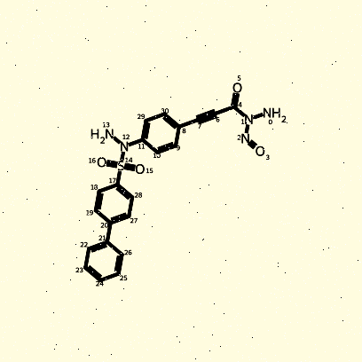 NN(N=O)C(=O)C#Cc1ccc(N(N)S(=O)(=O)c2ccc(-c3ccccc3)cc2)cc1